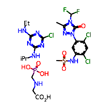 CCNc1nc(Cl)nc(NC(C)C)n1.Cc1nn(-c2cc(NS(C)(=O)=O)c(Cl)cc2Cl)c(=O)n1C(F)F.O=C(O)CNCP(=O)(O)O